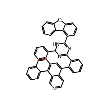 c1ccc(C2N=C(c3ccccc3-c3cc4ccc5ccccc5c4c4cnccc34)N=C(c3cccc4oc5ccccc5c34)N2)cc1